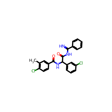 Cc1cc(C(=O)NC(C(=O)NC(=N)c2ccccc2)c2cccc(Cl)c2)ccc1Cl